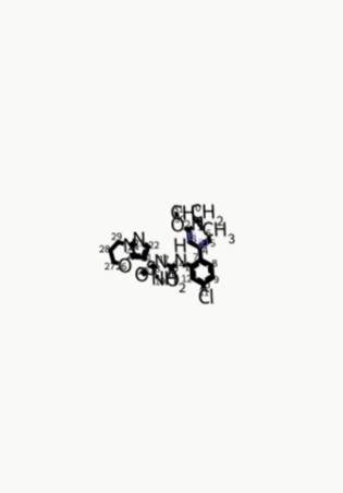 C=N/C(=C\C(=C/C)c1ccc(Cl)cc1NC(=O)N=S(N)(=O)c1cnn2c1OCCC2)OC